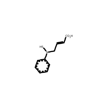 O=C(O)C=CCN(S)c1ccccc1